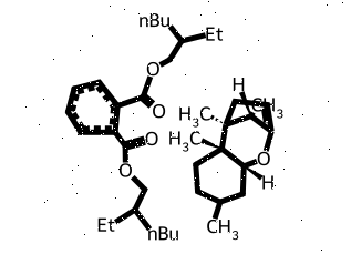 CC1CC[C@@]2(C)[C@@H](C1)OC1=CC[C@@]2(C)[C@@H]1C.CCCCC(CC)COC(=O)c1ccccc1C(=O)OCC(CC)CCCC